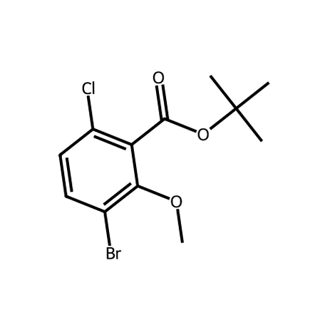 COc1c(Br)ccc(Cl)c1C(=O)OC(C)(C)C